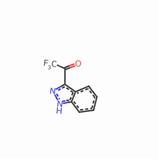 O=C(c1n[nH]c2ccccc12)C(F)(F)F